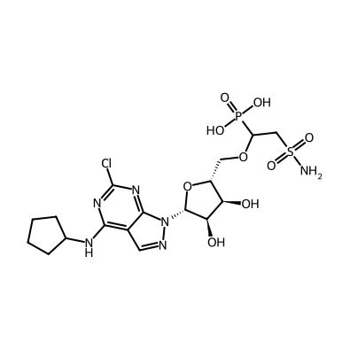 NS(=O)(=O)CC(OC[C@H]1O[C@@H](n2ncc3c(NC4CCCC4)nc(Cl)nc32)[C@H](O)[C@@H]1O)P(=O)(O)O